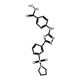 O=C(NO)c1ccc(Nc2nnc(-c3cccc(S(=O)(=O)N4CCCC4)c3)o2)cc1